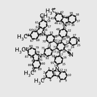 Cc1ccc2c(c1)c1ccccc1n2-c1ccc(-c2c(C#N)c(-c3ccncc3)c(-c3ccc(-n4c5ccccc5c5cc(C)ccc54)cc3)c(-c3ccc(-n4c5ccc(C)cc5c5cc(C)ccc54)cc3)c2-c2ccc(-n3c4ccc(C)cc4c4cc(C)ccc43)cc2)cc1